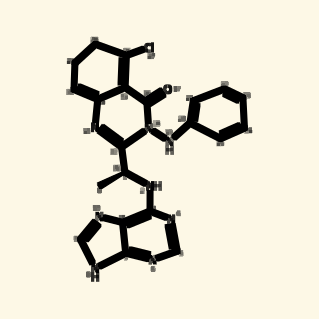 C[C@H](Nc1ncnc2[nH]cnc12)c1nc2c(c(=O)n1Nc1ccccc1)=C(Cl)CCC=2